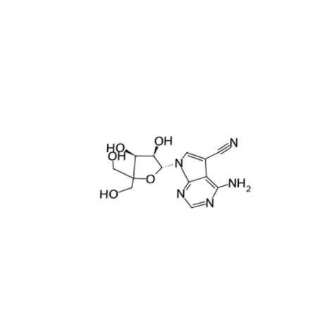 N#Cc1cn([C@@H]2OC(CO)(CO)[C@@H](O)[C@H]2O)c2ncnc(N)c12